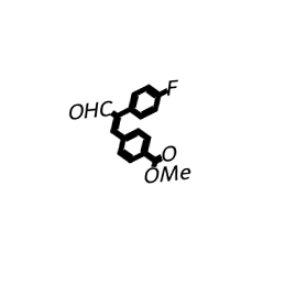 COC(=O)c1ccc(C=C(C=O)c2ccc(F)cc2)cc1